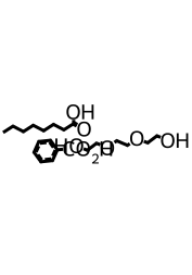 CCCCCCCC(=O)O.O=C(O)c1ccccc1.OCCOCCOCCO